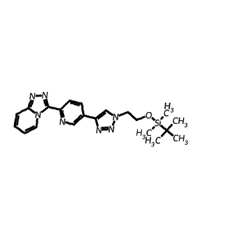 CC(C)(C)[Si](C)(C)OCCn1cc(-c2ccc(-c3nnc4ccccn34)nc2)nn1